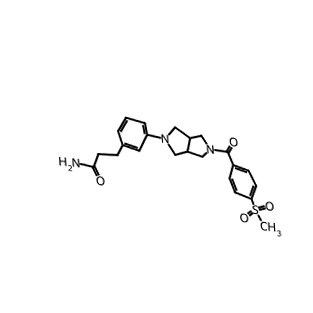 CS(=O)(=O)c1ccc(C(=O)N2CC3CN(c4cccc(CCC(N)=O)c4)CC3C2)cc1